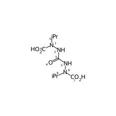 CC(C)N(NC(=O)NN(C(=O)O)C(C)C)C(=O)O